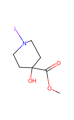 COC(=O)C1(O)CCN(I)CC1